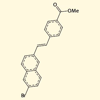 COC(=O)c1ccc(C=Cc2ccc3cc(Br)ccc3c2)cc1